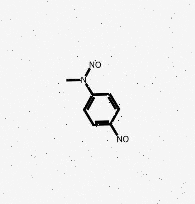 CN(N=O)c1ccc(N=O)cc1